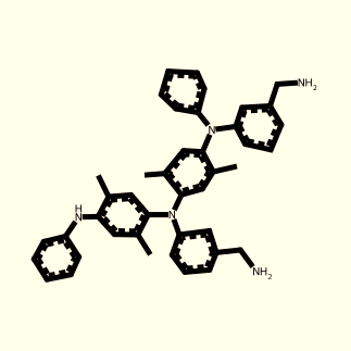 Cc1cc(N(c2cccc(CN)c2)c2cc(C)c(N(c3ccccc3)c3cccc(CN)c3)cc2C)c(C)cc1Nc1ccccc1